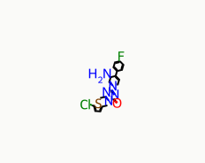 Cc1nc(N2CC=C(c3ccc(F)cc3)[C@@H](N)C2)nc(=O)n1Cc1ccc(Cl)s1